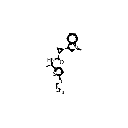 C[C@@H](NC(=O)[C@H]1C[C@@H]1c1cn(C)c2ccccc12)c1ccc(OCC(F)(F)F)s1